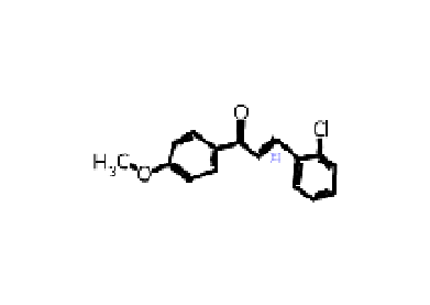 COc1ccc(C(=O)/C=C/c2ccccc2Cl)cc1